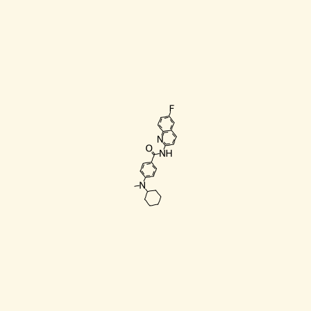 CN(c1ccc(C(=O)Nc2ccc3cc(F)ccc3n2)cc1)C1CCCCC1